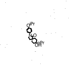 CCC[C@]1(O)CC[C@]2(CCN(c3ccc(OC(C)C)cc3)C2=O)CC1